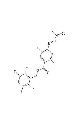 CCN(C)/C=N/c1cc(C)c(C(=O)OCc2c(F)c(F)cc(F)c2F)cc1C